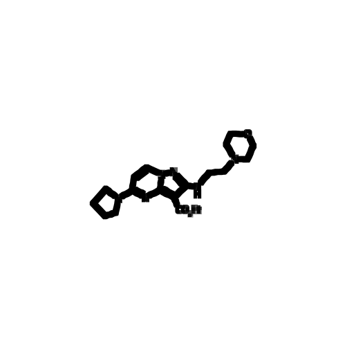 CCOC(=O)c1c(NCCN2CCOCC2)nn2ccc(N3CCCC3)nc12